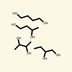 CC(O)C(C)O.CC(O)CCO.CCC(O)CO.OCCCCO